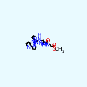 COC(=O)CCNC(=O)c1cc(Nc2nc(N3CCCC3c3ccccn3)nc3cccn23)n[nH]1